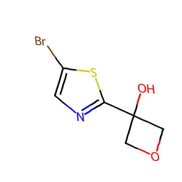 OC1(c2ncc(Br)s2)COC1